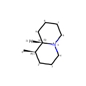 C[C@@H]1CCCN2CCCC[C@@H]12